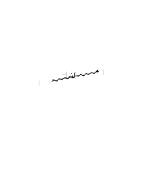 Br.CCCCCCCC[CH2][Al][CH2]CCCCCCCC